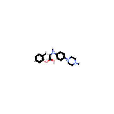 CN1CCN(c2ccc(N(C)[C@@H](Cc3ccccc3)C(=O)O)cc2)CC1